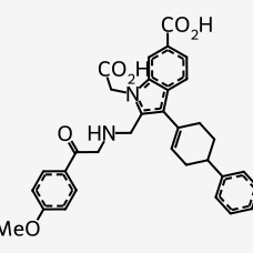 COc1ccc(C(=O)CNCc2c(C3=CCC(c4ccccc4)CC3)c3ccc(C(=O)O)cc3n2CC(=O)O)cc1